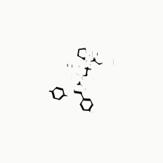 CCC(=O)N(C1(C)CCCN1)C(C)(C)C(=O)Nc1nc(-c2ccc(F)cc2)c(Oc2ccc(F)cc2)s1